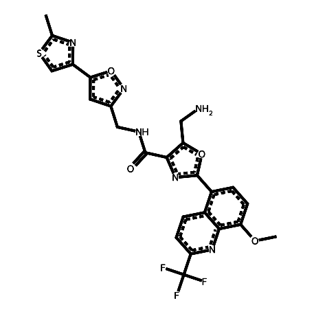 COc1ccc(-c2nc(C(=O)NCc3cc(-c4csc(C)n4)on3)c(CN)o2)c2ccc(C(F)(F)F)nc12